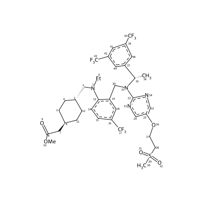 CCN(C[C@H]1CC[C@H](CC(=O)OC)CC1)c1ccc(C(F)(F)F)cc1CN(c1ncc(OCCS(C)(=O)=O)cn1)[C@@H](C)c1cc(C(F)(F)F)cc(C(F)(F)F)c1